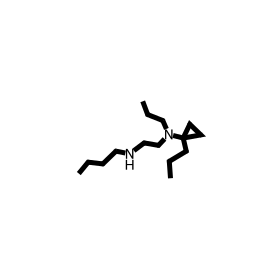 CCCCNCCN(CCC)C1(CCC)CC1